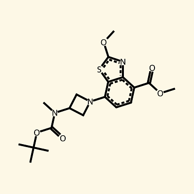 COC(=O)c1ccc(N2CC(N(C)C(=O)OC(C)(C)C)C2)c2sc(OC)nc12